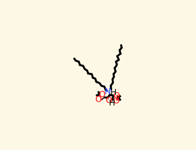 CCCCCCCCCCCCCCCCN(CCCCCCCCCCCCCCCC)[C@H]1[C@H]2OC(C)(C)O[C@H]2O[C@@H]1[C@H]1COC(C)(C)O1